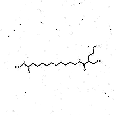 [CH2]NC(=O)CCCCCCCCCCNC(=O)C(CC)CCCC